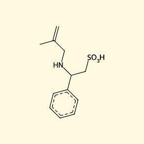 C=C(C)CNC(CS(=O)(=O)O)c1ccccc1